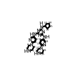 c1cc(N2CCNCC2)ncc1Nc1nc(Nc2ccc(N3CCNCC3)nc2)nc(NC2CCCC2)n1